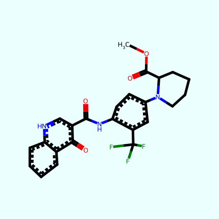 COC(=O)C1CCCCN1c1ccc(NC(=O)c2c[nH]c3ccccc3c2=O)c(C(F)(F)F)c1